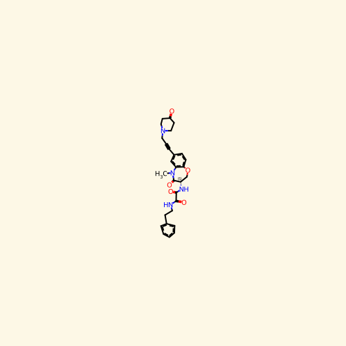 CN1C(=O)[C@@H](NC(=O)C(=O)NCCc2ccccc2)COc2ccc(C#CCN3CCC(=O)CC3)cc21